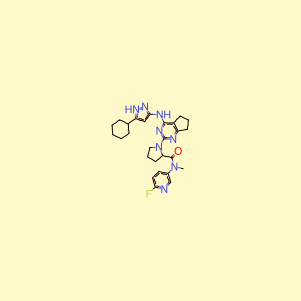 CN(C(=O)C1CCCN1c1nc2c(c(Nc3cc(C4CCCCC4)[nH]n3)n1)CCC2)c1ccc(F)nc1